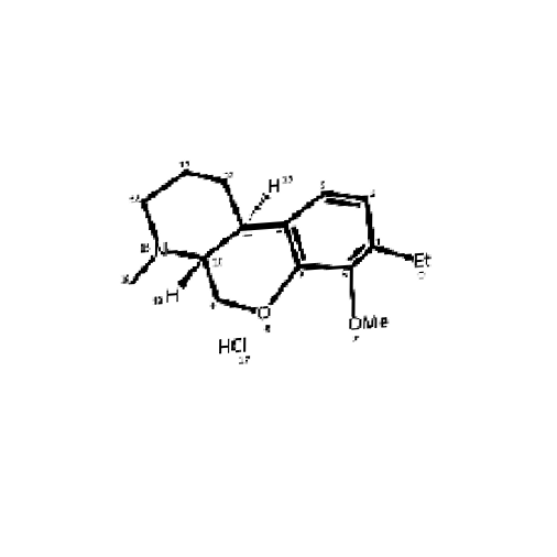 CCc1ccc2c(c1OC)OC[C@H]1[C@H]2CCCN1C.Cl